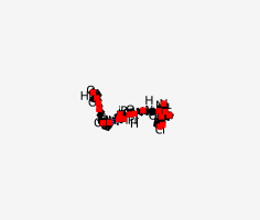 Cc1sc2c(c1C)C(c1ccc(Cl)cc1)=N[C@@H](CC(=O)NCCCCNC(=O)COc1c(C(C)C)cc(/N=N/c3cccc4c3CN(CCCCCCC3CCC(=O)NC3=O)C4=O)cc1C(C)C)c1nnc(C)n1-2